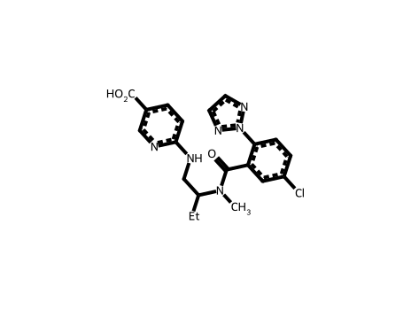 CCC(CNc1ccc(C(=O)O)cn1)N(C)C(=O)c1cc(Cl)ccc1-n1nccn1